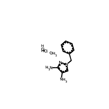 Cl.Cl.Nc1cn(Cc2ccccc2)nc1N.O